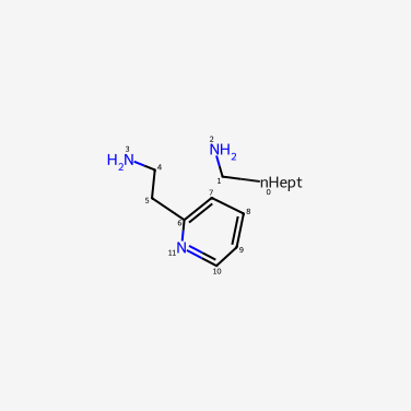 CCCCCCCCN.NCCc1ccccn1